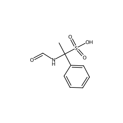 CC(NC=O)(c1ccccc1)S(=O)(=O)O